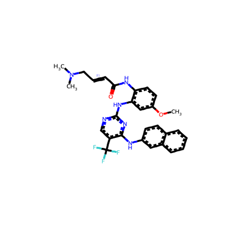 COc1ccc(NC(=O)/C=C/CN(C)C)c(Nc2ncc(C(F)(F)F)c(Nc3ccc4ccccc4c3)n2)c1